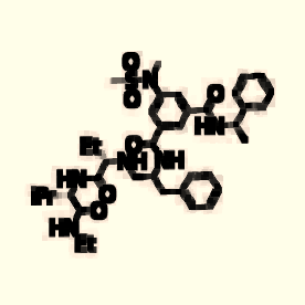 CCNC(=O)[C@@H](NC(=O)[C@H](CC)NC[C@H](Cc1ccccc1)NC(=O)c1cc(C(=O)N[C@H](C)c2ccccc2)cc(N(C)S(C)(=O)=O)c1)C(C)C